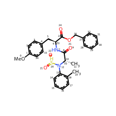 COc1ccc(C[C@H](NC(=O)[C@H](C)N(c2ccccc2C)[SH](=O)=O)C(=O)OCc2ccccc2)cc1